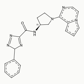 O=C(N[C@H]1CCN(c2nccn3cccc23)C1)C1=NC(c2ccccc2)N=N1